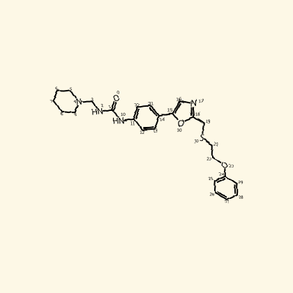 O=C(NCN1CCCCC1)Nc1ccc(-c2cnc(CSCCOc3ccccc3)o2)cc1